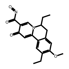 CCc1cc2c(cc1OC)CC(CC)n1cc(C(=O)N=O)c(=O)cc1-2